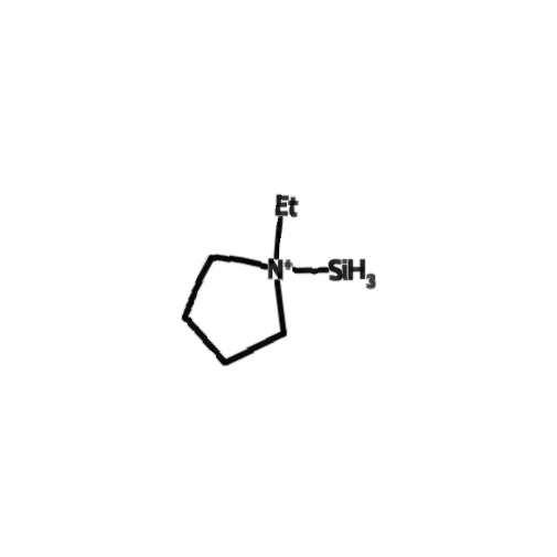 CC[N+]1([SiH3])CCCC1